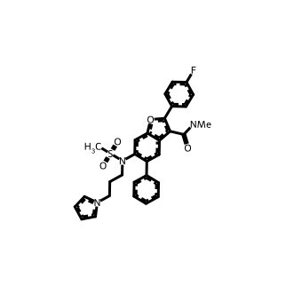 CNC(=O)c1c(-c2ccc(F)cc2)oc2cc(N(CCCn3cccc3)S(C)(=O)=O)c(-c3ccccc3)cc12